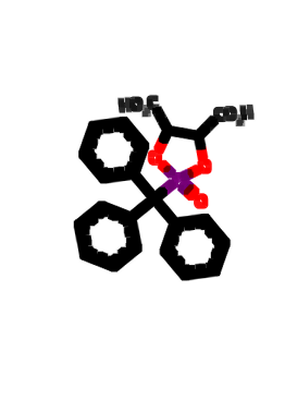 O=C(O)C1OP(=O)(C(c2ccccc2)(c2ccccc2)c2ccccc2)OC1C(=O)O